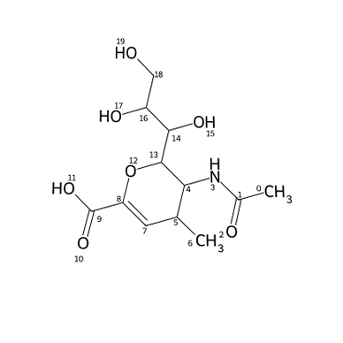 CC(=O)NC1C(C)C=C(C(=O)O)OC1C(O)C(O)CO